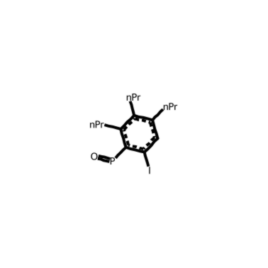 CCCc1cc(I)c(P=O)c(CCC)c1CCC